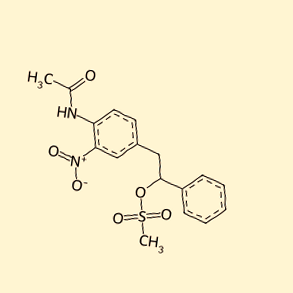 CC(=O)Nc1ccc(CC(OS(C)(=O)=O)c2ccccc2)cc1[N+](=O)[O-]